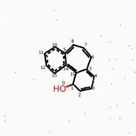 OC1C=CC=C2C=CC=c3ccccc3=C21